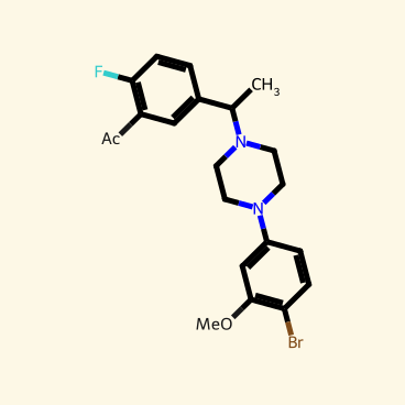 COc1cc(N2CCN(C(C)c3ccc(F)c(C(C)=O)c3)CC2)ccc1Br